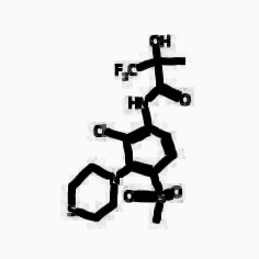 CC(O)(C(=O)Nc1ccc(S(C)(=O)=O)c(N2CCSCC2)c1Cl)C(F)(F)F